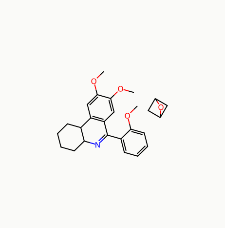 C1C2CC1O2.COc1cc2c(cc1OC)C1CCCCC1N=C2c1ccccc1OC